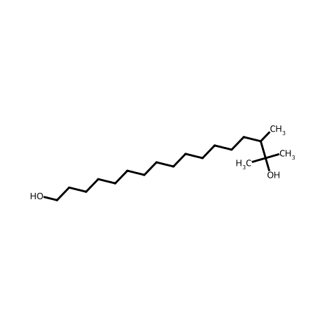 CC(CCCCCCCCCCCCCCO)C(C)(C)O